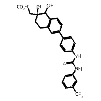 CCOC(=O)C[C@@]1(CC)CCc2cc(-c3ccc(NC(=O)Nc4cccc(C(F)(F)F)c4)cc3)ccc2C1O